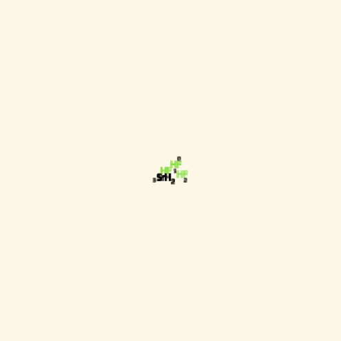 F.F.F.[SrH2]